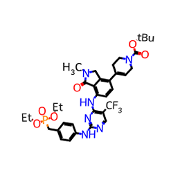 CCOP(=O)(Cc1ccc(Nc2ncc(C(F)(F)F)c(Nc3ccc(C4=CCN(C(=O)OC(C)(C)C)CC4)c4c3C(=O)N(C)C4)n2)cc1)OCC